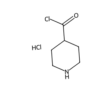 Cl.O=C(Cl)C1CCNCC1